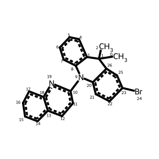 CC1(C)c2ccccc2N(c2ccc3ccccc3n2)c2ccc(Br)cc21